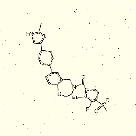 CCc1c(C(=O)N2CCOc3ccc(-c4ccc(-c5c[nH]c(C)n5)cc4)cc3C2)ccc(S(C)(=O)=O)c1F